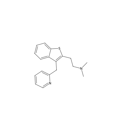 CN(C)CCc1sc2ccccc2c1Cc1ccccn1